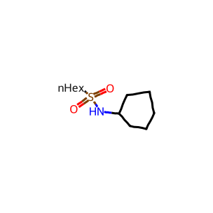 CCCCCCS(=O)(=O)NC1CCCCC1